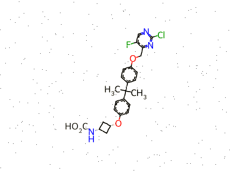 CC(C)(c1ccc(OCc2nc(Cl)ncc2F)cc1)c1ccc(O[C@H]2C[C@@H](NC(=O)O)C2)cc1